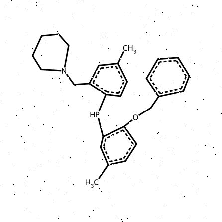 Cc1ccc(Pc2cc(C)ccc2OCc2ccccc2)c(CN2CCCCC2)c1